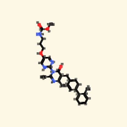 CCCCc1nc(C)n(-c2ncc(OCCCNC(=O)OC(C)(C)C)cn2)c(=O)c1Cc1ccc(-c2ccccc2C#N)cc1